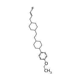 CCOc1ccc(C2CCC(CCC3CCC(C/C=C/F)CC3)CC2)cc1